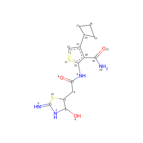 N=C1NC(O)C(CC(=O)Nc2scc(C3CCC3)c2C(N)=O)S1